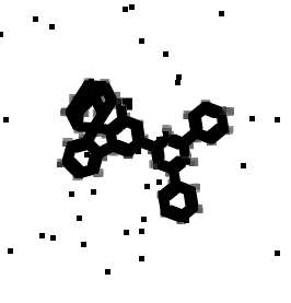 N#Cc1cc(-c2nc(-c3ccccc3)nc(-c3ccncc3)n2)cc2c1C1(c3ccccc3-2)C2CC3CC(C2)CC1C3